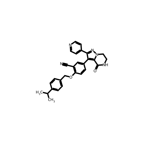 CC(C)c1ccc(COc2ccc(-c3c(-c4ccncc4)nn4c3C(=O)NCC4)cc2C#N)cc1